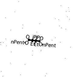 CCCCCOC(=O)C(CC)(C(C)C)C(CC)(C(=O)OCCCCC)C(C)C